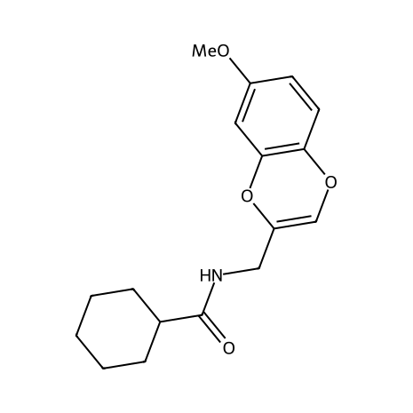 COc1ccc2c(c1)OC(CNC(=O)C1CCCCC1)=CO2